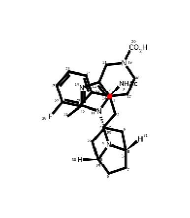 CC(=O)N[C@@H](CCN1[C@@H]2CC[C@H]1C[C@@H](n1c(C)nc3c1CCN(C(=O)O)C3)C2)c1cccc(F)c1